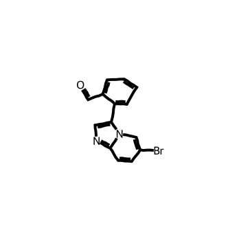 O=Cc1ccccc1-c1cnc2ccc(Br)cn12